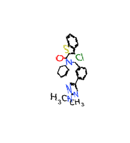 CN(C)c1ncc(-c2cccc(CN(C(=O)c3sc4ccccc4c3Cl)C3CCCCC3)c2)cn1